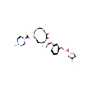 C/C(=C\c1cccc(COC(=O)N2CC[C@@H](O)C2)c1)[C@H]1C(=O)C(=O)C[C@H](O)CC[C@H](C)[C@@H](OC(=O)N2CCN(C)CC2)/C=C/[C@@H]1C